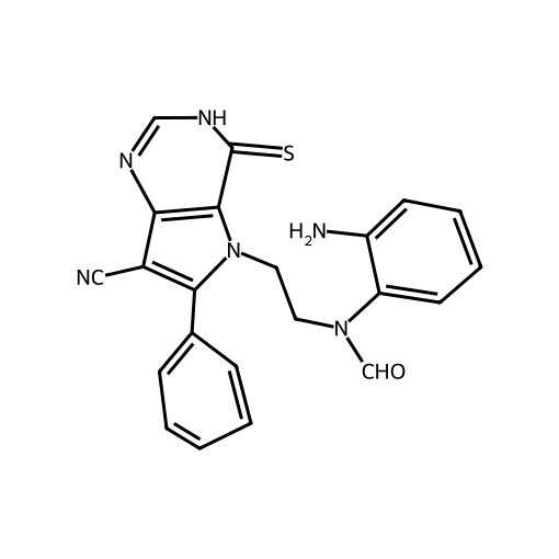 N#Cc1c(-c2ccccc2)n(CCN(C=O)c2ccccc2N)c2c(=S)[nH]cnc12